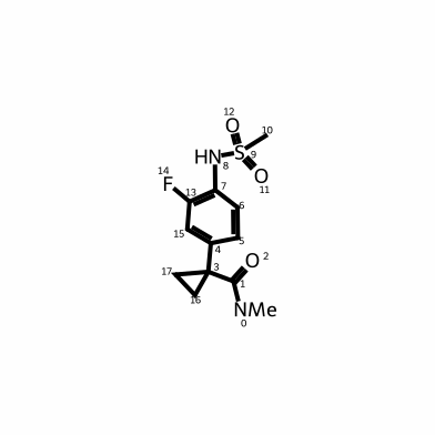 CNC(=O)C1(c2ccc(NS(C)(=O)=O)c(F)c2)CC1